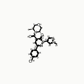 C[C@H]1COCCN1C(=O)c1cc(-c2ccc(Cl)cc2)nn(-c2cnn(C)c2)c1=O